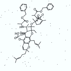 CCC1(C(C)(C)OC(C)(C/C=C(/C)C(=O)NC(C)C(=O)OCc2ccccc2)C(C)=O)Oc2c(CC=C(C)C)c3c(c(OP(=O)(O)O)c2C(=O)C1C(C)NC(C)C(=O)OCc1ccccc1)C=CC(C)(CCC=C(C)C)O3